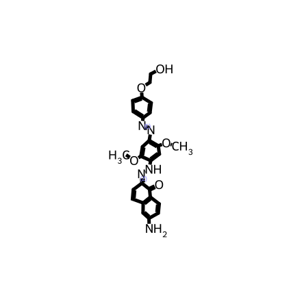 COc1cc(N/N=C2/C=Cc3cc(N)ccc3C2=O)c(OC)cc1/N=N/c1ccc(OCCO)cc1